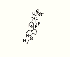 COc1nccc2c(-n3ncc(-c4cnc([N+](=O)[O-])o4)c3C(F)(F)F)cccc12